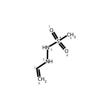 C=CNNS(C)(=O)=O